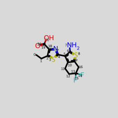 CCc1sc(-c2c(N)sc3c2CCC(F)(F)C3)nc1C(=O)O